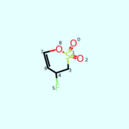 O=S1(=O)CC(F)C=CO1